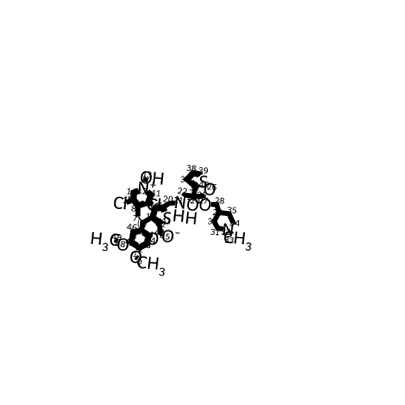 COc1ccc([C@H](Cc2c(Cl)c[n+](O)cc2Cl)c2cc(CNCC(O)(C(=O)OCC3CCN(C)CC3)c3cccs3)sc2C(=O)[O-])cc1OC